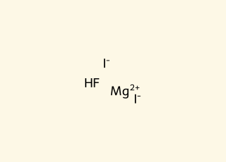 F.[I-].[I-].[Mg+2]